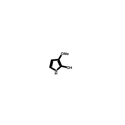 COc1cc[nH]c1O